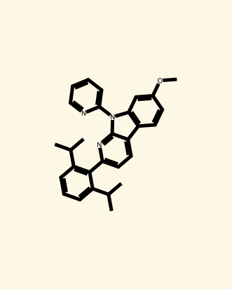 COc1ccc2c3ccc(-c4c(C(C)C)cccc4C(C)C)nc3n(-c3ccccn3)c2c1